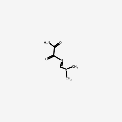 CN(C)/C=N/C(=O)C(N)=O